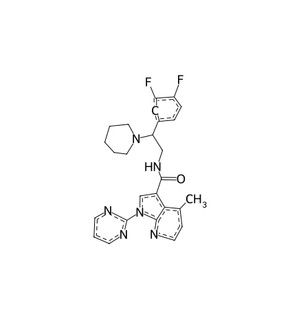 Cc1ccnc2c1c(C(=O)NCC(c1ccc(F)c(F)c1)N1CCCCC1)cn2-c1ncccn1